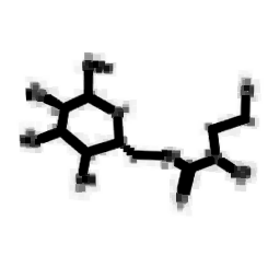 COC1O[C@H](CNC(=O)N(CCCl)N=O)C(O)C(O)[C@H]1O